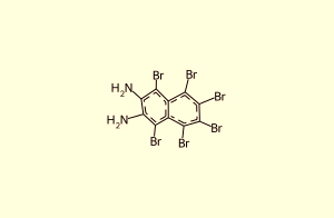 Nc1c(N)c(Br)c2c(Br)c(Br)c(Br)c(Br)c2c1Br